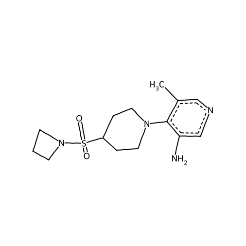 Cc1cncc(N)c1N1CCC(S(=O)(=O)N2CCC2)CC1